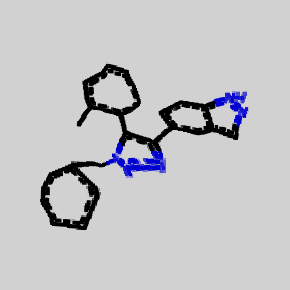 Cc1ccccc1-c1c(-c2ccc3[nH]ncc3c2)nnn1Cc1ccccc1